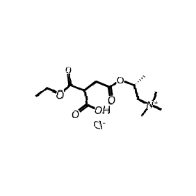 CCOC(=O)C(CC(=O)O[C@H](C)C[N+](C)(C)C)C(=O)O.[Cl-]